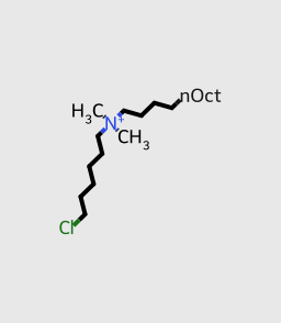 CCCCCCCCCCCC[N+](C)(C)CCCCCCCl